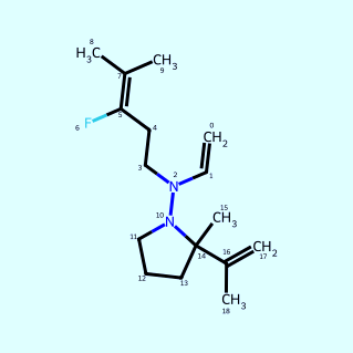 C=CN(CCC(F)=C(C)C)N1CCCC1(C)C(=C)C